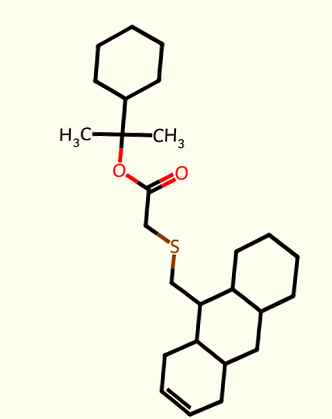 CC(C)(OC(=O)CSCC1C2CC=CCC2CC2CCCCC21)C1CCCCC1